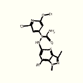 CCOc1cc(N(Nc2cc(C(C)C)c3c(n2)c(C)nn3C)C(N)=O)cc(Cl)n1